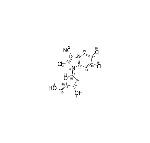 N#Cc1c(Cl)n([C@H]2CC(O)[C@@H](CO)O2)c2cc(Cl)c(Cl)cc12